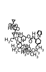 C=CC1C[C@]1(NC(=O)C1C[C@@H](OC(=O)NC2=CC(C)=CCC2n2cccc2)CN1C(=O)[C@@H](NC(=O)OC(C)(C)C)C(C)(C)C)C(=O)NS(=O)(=O)C1CC1